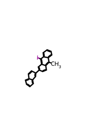 Cc1c2ccccc2c(I)c2cc(-c3ccc4ccccc4c3)ccc12